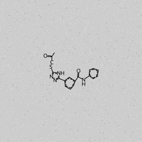 CC(=O)CSc1nnc(-c2cccc(C(=O)Nc3ccccc3)c2)[nH]1